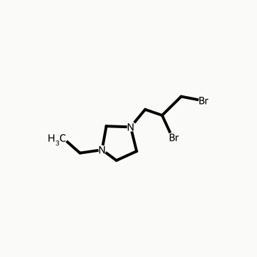 CCN1CCN(CC(Br)CBr)C1